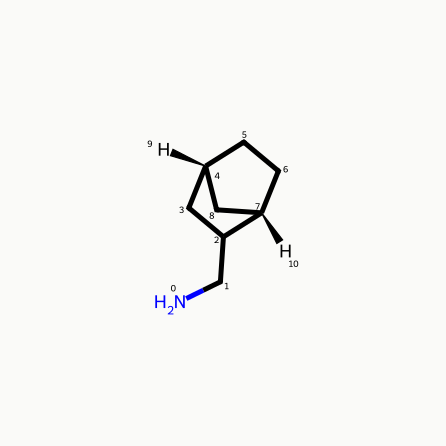 NCC1C[C@@H]2CC[C@H]1C2